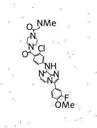 CNCC(=O)N1CCN(C(=O)c2ccc(Nc3nccn4c(-c5ccc(OC)c(F)c5)cnc34)cc2Cl)CC1